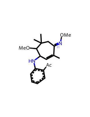 CO/N=C1\CC(C)(C)C(OC)C(Nc2ccccc2C(C)=O)C=C1C